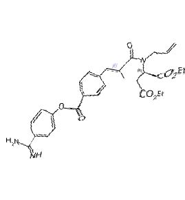 C=CCN(C(=O)/C(C)=C/c1ccc(C(=O)Oc2ccc(C(=N)N)cc2)cc1)[C@H](CC(=O)OCC)C(=O)OCC